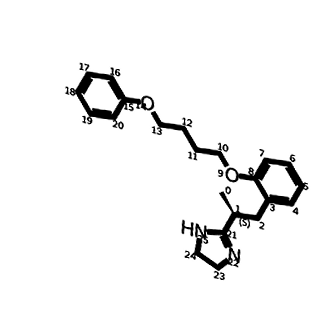 C[C@@H](Cc1ccccc1OCCCCOc1ccccc1)C1=NCCN1